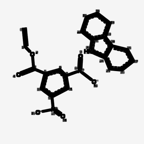 C=COC(=O)c1cc([N+](=O)[O-])cc([N+](=O)[O-])c1.c1ccc2c(c1)[nH]c1ccccc12